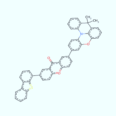 CC1(C)c2ccccc2N2c3ccc(-c4ccc5oc6ccc(-c7cccc8c7sc7ccccc78)cc6c(=O)c5c4)cc3Oc3cccc1c32